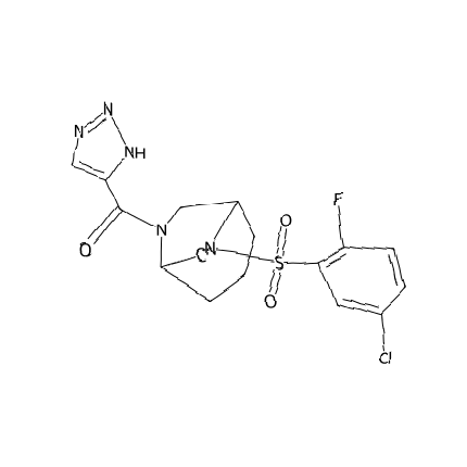 O=C(c1cnn[nH]1)N1CC2CCCC1CN2S(=O)(=O)c1cc(Cl)ccc1F